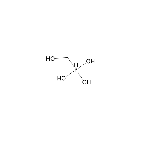 OC[PH](O)(O)O